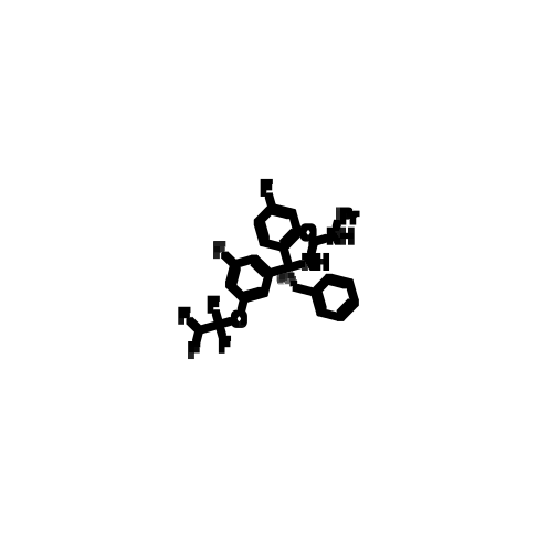 CC(C)NC(=O)N[C@](Cc1ccccc1)(c1ccc(F)cc1)c1cc(F)cc(OC(F)(F)C(F)F)c1